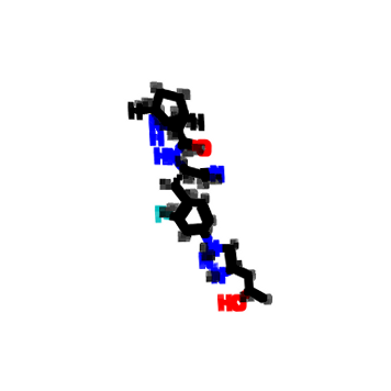 CC(O)Cc1cn(-c2ccc(C[C@@H](C#N)NC(=O)[C@H]3N[C@@H]4CC[C@H]3C4)c(F)c2)nn1